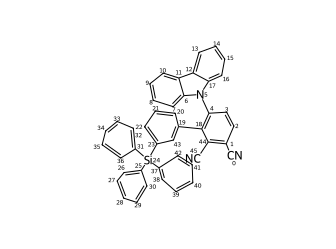 N#Cc1ccc(-n2c3ccccc3c3ccccc32)c(-c2cccc([Si](c3ccccc3)(c3ccccc3)c3ccccc3)c2)c1C#N